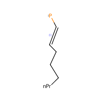 CCCCCC/C=C/[P]